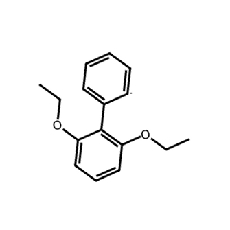 CCOc1cccc(OCC)c1-c1[c]cccc1